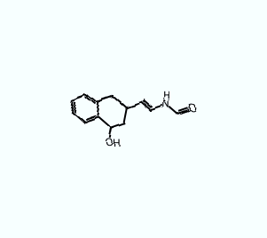 O=CNC=CC1Cc2ccccc2C(O)C1